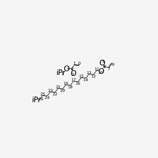 C=CC(=O)OC(C)C.C=CC(=O)OCCCCCCCCCCCCCCCC(C)C